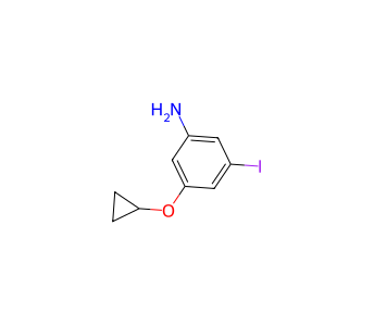 Nc1cc(I)cc(OC2CC2)c1